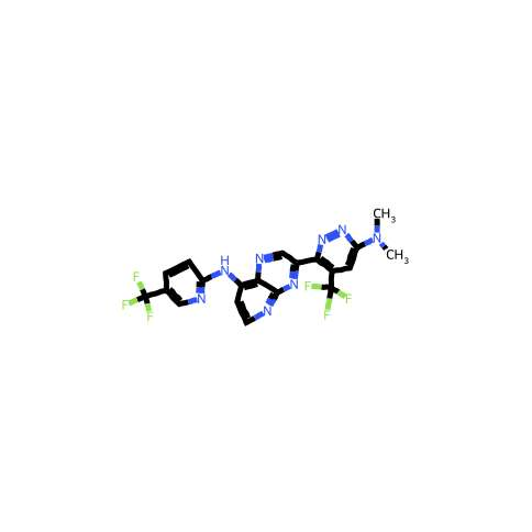 CN(C)c1cc(C(F)(F)F)c(-c2cnc3c(Nc4ccc(C(F)(F)F)cn4)ccnc3n2)nn1